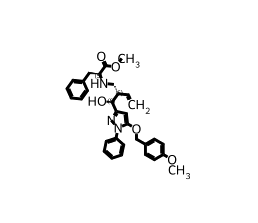 C=C[C@@H](CN[C@@H](Cc1ccccc1)C(=O)OC)[C@H](O)c1cc(OCc2ccc(OC)cc2)n(-c2ccccc2)n1